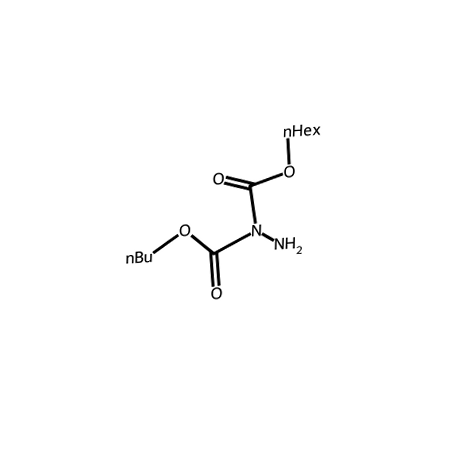 CCCCCCOC(=O)N(N)C(=O)OCCCC